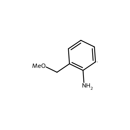 COCc1ccc[c]c1N